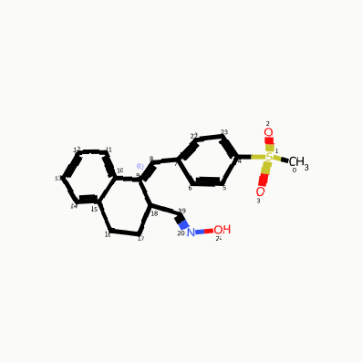 CS(=O)(=O)c1ccc(/C=C2/c3ccccc3CCC2C=NO)cc1